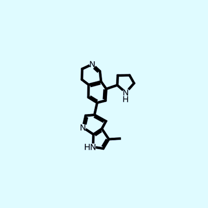 Cc1c[nH]c2ncc(-c3cc4c(c(C5CCCN5)c3)C=NCC4)cc12